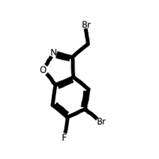 Fc1cc2onc(CBr)c2cc1Br